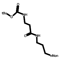 CCCCCCCCCCCCNC(=O)CCNC(=O)OC(C)(C)C